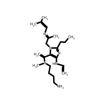 C=CNc1nc(CCC)n(C/C(C)=N/C=C(C)C)c1C(=C)N(C)CCCCN